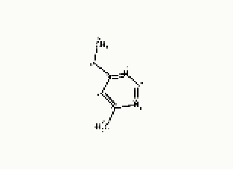 [CH2]c1cc(CC)ncn1